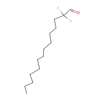 CCCCCCCCCCCCC(F)(F)C=O